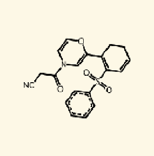 N#CCC(=O)N1C=COC(C2=C(S(=O)(=O)c3ccccc3)C=CCC2)=C1